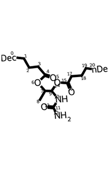 CCCCCCCCCCCCCC(=O)OC(C)C(NC(N)=O)OC(=O)CCCCCCCCCCCCC